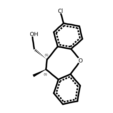 C[C@@H]1c2ccccc2Oc2ccc(Cl)cc2[C@H]1CO